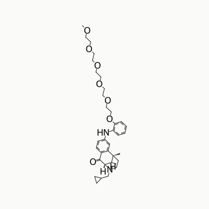 COCCOCCOCCOCCOCCOc1ccccc1Nc1ccc2c(c1)[C@]1(C)CCN(CC3CC3)[C@H](C2=O)[C@@H]1C